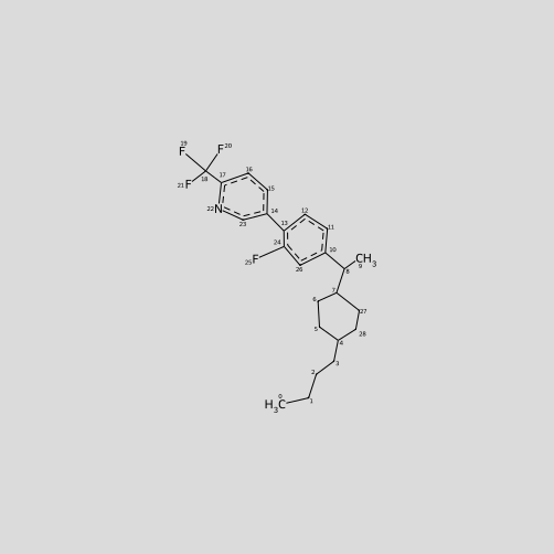 CCCCC1CCC(C(C)c2ccc(-c3ccc(C(F)(F)F)nc3)c(F)c2)CC1